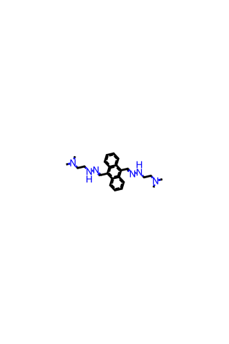 CN(C)CCN/N=C/c1c2ccccc2c(/C=N/NCCN(C)C)c2ccccc12